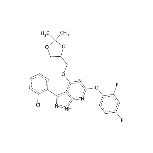 CC1(C)OCC(COc2nc(Oc3ccc(F)cc3F)nc3[nH]nc(-c4ccccc4Cl)c23)O1